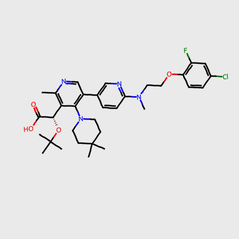 Cc1ncc(-c2ccc(N(C)CCOc3ccc(Cl)cc3F)nc2)c(N2CCC(C)(C)CC2)c1[C@H](OC(C)(C)C)C(=O)O